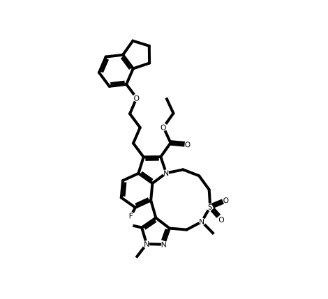 CCOC(=O)c1c(CCCOc2cccc3c2CCC3)c2ccc(F)c3c2n1CCCS(=O)(=O)N(C)Cc1nn(C)c(C)c1-3